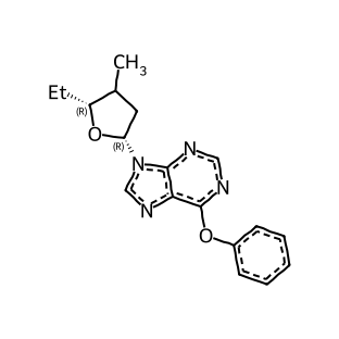 CC[C@H]1O[C@@H](n2cnc3c(Oc4ccccc4)ncnc32)CC1C